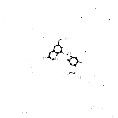 C[CH][C@H](C)Oc1cc2nn(-c3cc(CO)cc4cc(OC)cnc34)nc2cc1F